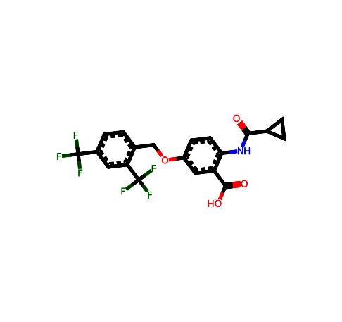 O=C(O)c1cc(OCc2ccc(C(F)(F)F)cc2C(F)(F)F)ccc1NC(=O)C1CC1